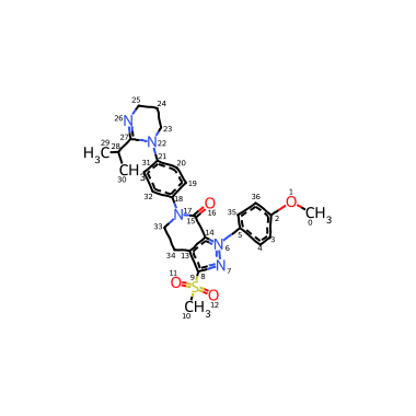 COc1ccc(-n2nc(S(C)(=O)=O)c3c2C(=O)N(c2ccc(N4CCCN=C4C(C)C)cc2)CC3)cc1